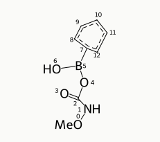 CONC(=O)OB(O)c1ccccc1